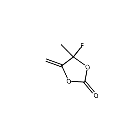 C=C1OC(=O)OC1(C)F